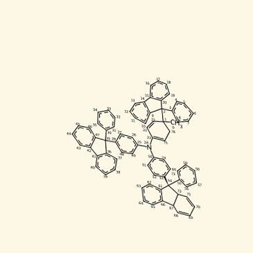 CC1(C2(c3ccccc3)c3ccccc3-c3ccccc32)C=CC(N(c2ccc(C3(c4ccccc4)c4ccccc4-c4ccccc43)cc2)c2ccc([C@]3(c4ccccc4)c4ccccc4C4C=CC=CC43)cc2)=CC1